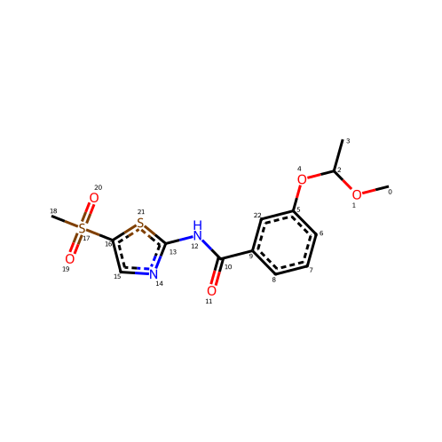 COC(C)Oc1cccc(C(=O)Nc2ncc(S(C)(=O)=O)s2)c1